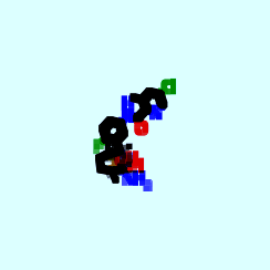 Cc1cc(Cl)cnc1C(=O)Nc1ccc(F)c([C@@]2(C)N=C(N)[C@]3(C)CC[C@H]2S3(O)O)c1